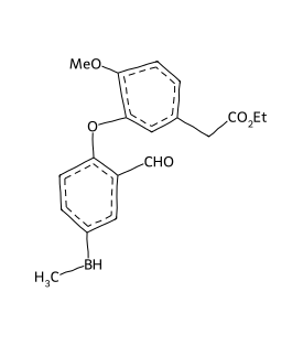 CBc1ccc(Oc2cc(CC(=O)OCC)ccc2OC)c(C=O)c1